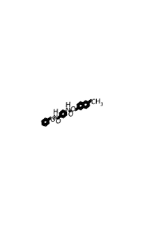 CCc1ccc2cc(COC(=O)Nc3ccc(C(=O)NOCc4ccccc4)cc3)ccc2c1